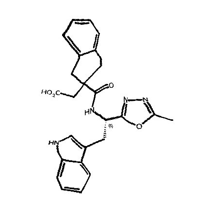 Cc1nnc([C@H](Cc2c[nH]c3ccccc23)NC(=O)C2(CC(=O)O)Cc3ccccc3C2)o1